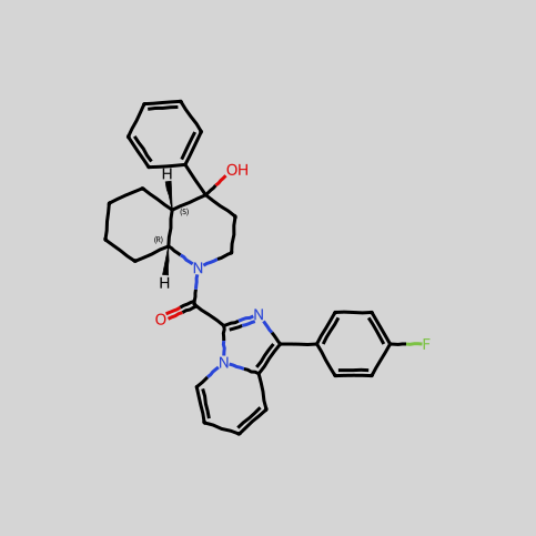 O=C(c1nc(-c2ccc(F)cc2)c2ccccn12)N1CCC(O)(c2ccccc2)[C@H]2CCCC[C@H]21